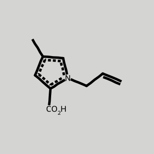 C=CCn1cc(C)cc1C(=O)O